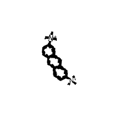 C[N+](C)(C)c1ccc2cc3ccc([N+](C)(C)C)cc3cc2c1